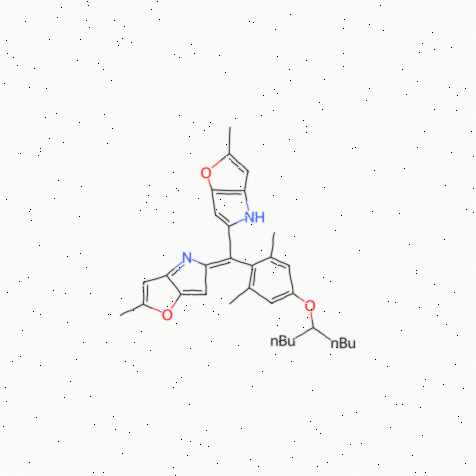 CCCCC(CCCC)Oc1cc(C)c(/C(=C2\C=c3oc(C)cc3=N2)c2cc3oc(C)cc3[nH]2)c(C)c1